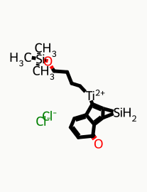 C[Si](C)(C)OCCC[CH2][Ti+2][C]1=C2[SiH2]C2=C2C(=O)C=CC=C12.[Cl-].[Cl-]